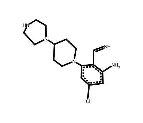 N=Cc1c(N)cc(Cl)cc1N1CCC(N2CCNCC2)CC1